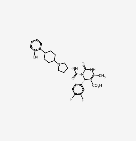 CC1=C(C(=O)O)[C@H](c2ccc(F)c(F)c2)N(C(=O)N[C@@H]2CCN(C3CCC(c4ccccc4C#N)CC3)C2)C(=O)N1